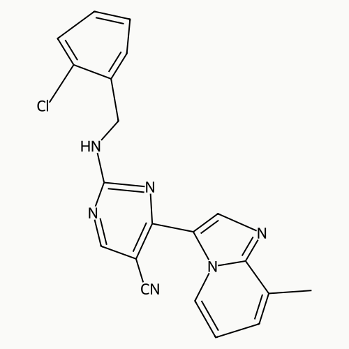 Cc1cccn2c(-c3nc(NCc4ccccc4Cl)ncc3C#N)cnc12